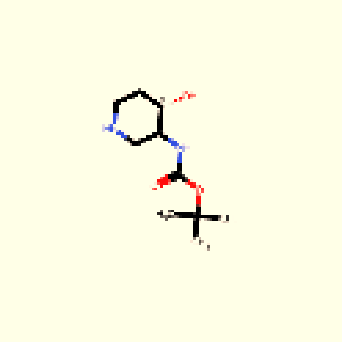 CC(C)(C)OC(=O)NC1CNCC[C@@H]1O